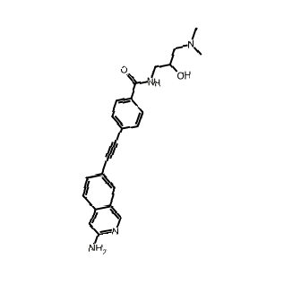 CN(C)CC(O)CNC(=O)c1ccc(C#Cc2ccc3cc(N)ncc3c2)cc1